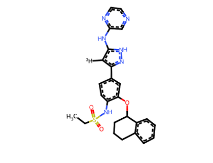 [2H]c1c(-c2ccc(NS(=O)(=O)CC)c(OC3CCCc4ccccc43)c2)n[nH]c1Nc1cnccn1